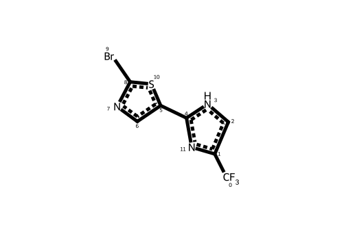 FC(F)(F)c1c[nH]c(-c2cnc(Br)s2)n1